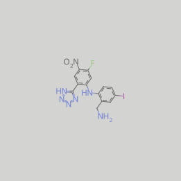 NCc1cc(I)ccc1Nc1cc(F)c([N+](=O)[O-])cc1-c1nnn[nH]1